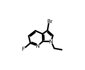 CCn1cc(Br)c2ccc(F)nc21